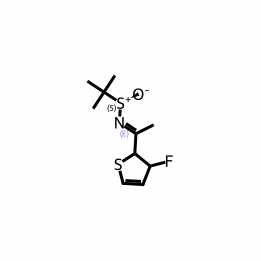 C/C(=N\[S@+]([O-])C(C)(C)C)C1SC=CC1F